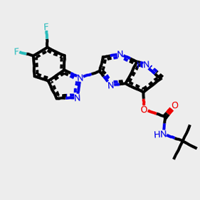 CC(C)(C)NC(=O)Oc1c[nH]c2ncc(-n3ncc4cc(F)c(F)cc43)nc12